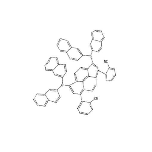 N#Cc1ccccc1-c1cc(B(c2ccc3ccccc3c2)c2ccc3ccccc3c2)c2ccc3c(B(c4ccc5ccccc5c4)c4ccc5ccccc5c4)cc(-c4ccccc4C#N)c4ccc1c2c34